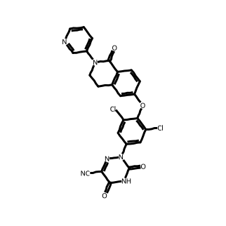 N#Cc1nn(-c2cc(Cl)c(Oc3ccc4c(c3)CCN(c3cccnc3)C4=O)c(Cl)c2)c(=O)[nH]c1=O